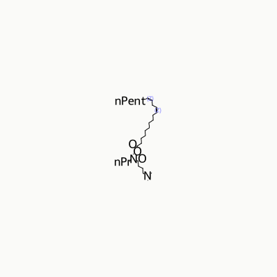 CCCCC/C=C\C/C=C\CCCCCCCCC(=O)OCN(CCC)C(=O)CCCN(C)C